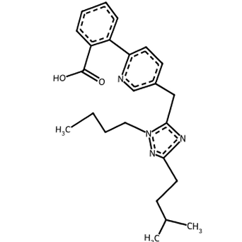 CCCCn1nc(CCC(C)C)nc1Cc1ccc(-c2ccccc2C(=O)O)nc1